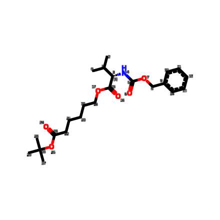 CC(C)[C@H](NC(=O)OCc1ccccc1)C(=O)OCCCCCC(=O)OC(C)(C)C